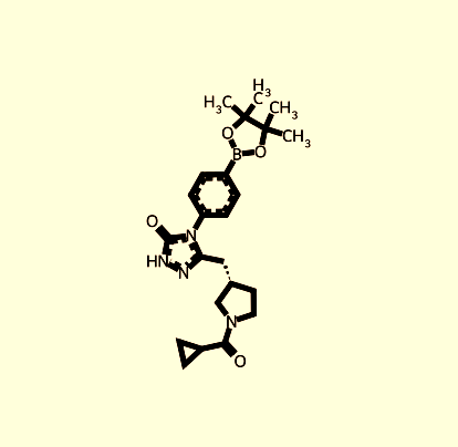 CC1(C)OB(c2ccc(-n3c(C[C@@H]4CCN(C(=O)C5CC5)C4)n[nH]c3=O)cc2)OC1(C)C